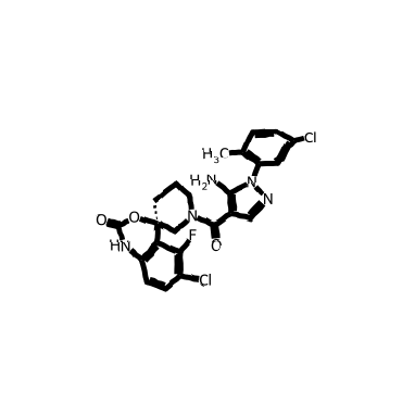 Cc1ccc(Cl)cc1-n1ncc(C(=O)N2CCC[C@@]3(C2)OC(=O)Nc2ccc(Cl)c(F)c23)c1N